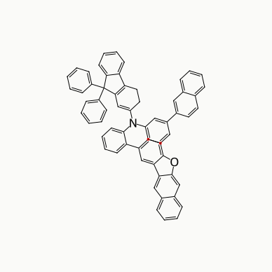 C1=C(N(c2cccc(-c3ccc4ccccc4c3)c2)c2ccccc2-c2ccc3oc4cc5ccccc5cc4c3c2)CCC2=C1C(c1ccccc1)(c1ccccc1)c1ccccc12